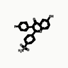 NS(=O)(=O)c1ccc(-c2oc3ccc(O)cc3c(=O)c2-c2ccc(F)cc2)cc1